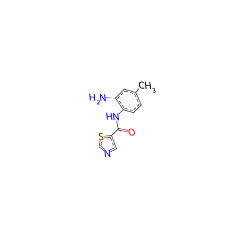 Cc1ccc(NC(=O)c2cncs2)c(N)c1